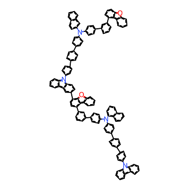 c1cc(-c2ccc(N(c3ccc(-c4ccc(-c5ccc(-n6c7ccccc7c7cc(-c8ccc(-c9cccc(-c%10ccc(N(c%11ccc(-c%12ccc(-c%13ccc(-n%14c%15ccccc%15c%15ccccc%15%14)cc%13)cc%12)cc%11)c%11cccc%12ccccc%11%12)cc%10)c9)c9c8oc8ccccc89)ccc76)cc5)cc4)cc3)c3ccc4ccccc4c3)cc2)cc(-c2cccc3oc4ccccc4c23)c1